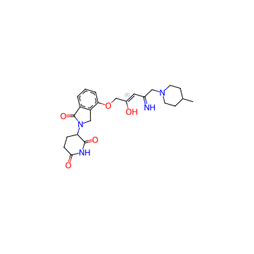 CC1CCN(CC(=N)/C=C(\O)COc2cccc3c2CN(C2CCC(=O)NC2=O)C3=O)CC1